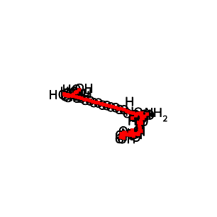 CCc1c2c(nc3ccc(OC(=O)N(C)CCN(C)C(=O)OCc4ccc(NC(=O)[C@H](CCCNC(N)=O)NC(=O)[C@@H](NC(=O)[C@H](CCCCNC(=O)CCOCCOCCOCCOCCOCCOCCOCCOCCOCCOCCOCCOCCN(C[C@H](O)[C@@H](O)[C@H](O)[C@H](O)CO)C[C@H](O)[C@@H](O)[C@H](O)[C@H](O)CO)NC(=O)OC(C)(C)C)C(C)C)cc4)cc13)-c1cc3c(c(=O)n1C2)COC(=O)[C@]3(O)CC